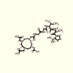 CC(C)[C@H](NC(=O)CNC(=O)CNC(=O)CN1CCN(CC(=O)O)CCN(CC(=O)O)CCN(CC(=O)O)CC1)C(=O)N[C@H](C)C(=O)N1CCC[C@H]1B(O)O